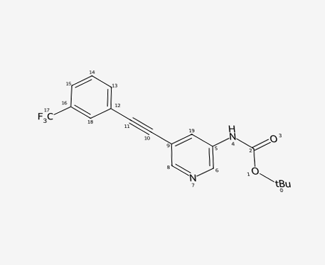 CC(C)(C)OC(=O)Nc1cncc(C#Cc2cccc(C(F)(F)F)c2)c1